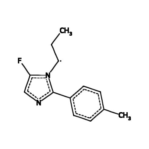 CC[CH]n1c(F)cnc1-c1ccc(C)cc1